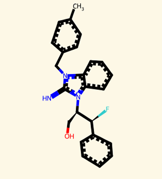 Cc1ccc(Cn2c(=N)n([C@H](CO)[C@@H](F)c3ccccc3)c3ccccc32)cc1